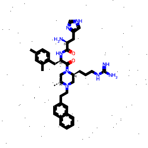 Cc1ccc(C[C@@H](NC(=O)[C@@H](N)Cc2c[nH]cn2)C(=O)N2C[C@@H](C)N(CCc3ccc4ccccc4c3)C[C@@H]2CCCNC(=N)N)c(C)c1